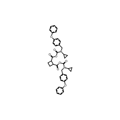 O=C(OC(=O)N(Cc1ccc(Oc2ccccc2)cc1)C1CC1)C1CCC1C(=O)OC(=O)N(Cc1ccc(Oc2ccccc2)cc1)C1CC1